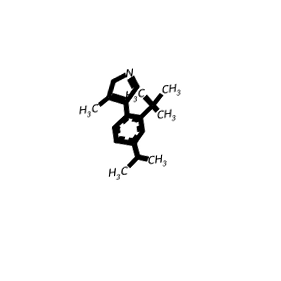 CC1=C(c2ccc(C(C)C)cc2C(C)(C)C)C=NC1